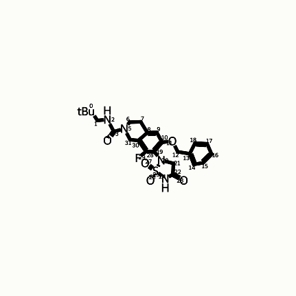 CC(C)(C)CNC(=O)N1CCc2cc(OCc3ccccc3)c(N3CC(=O)NS3(=O)=O)c(F)c2C1